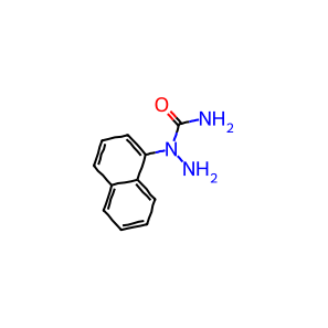 NC(=O)N(N)c1cccc2ccccc12